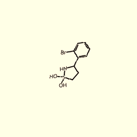 OS1(O)CCC(c2ccccc2Br)N1